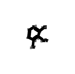 CCCc1c(Br)ccnc1Cl